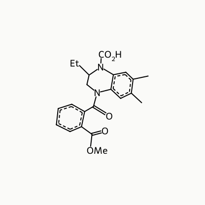 CCC1CN(C(=O)c2ccccc2C(=O)OC)c2cc(C)c(C)cc2N1C(=O)O